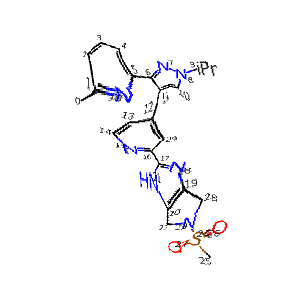 Cc1cccc(-c2nn(C(C)C)cc2-c2ccnc(-c3nc4c([nH]3)CN(S(C)(=O)=O)C4)c2)n1